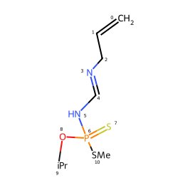 C=CCN=CNP(=S)(OC(C)C)SC